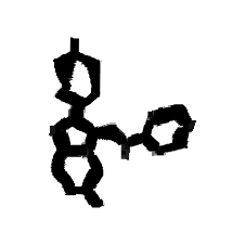 Cc1ccc(-c2nc3ccc(C)cn3c2CNc2ncncn2)cc1